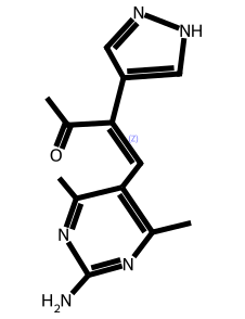 CC(=O)/C(=C\c1c(C)nc(N)nc1C)c1cn[nH]c1